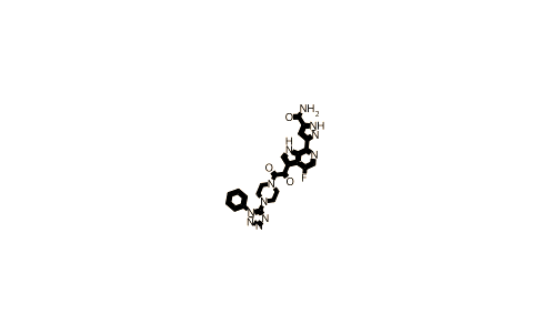 NC(=O)c1cc(-c2ncc(F)c3c(C(=O)C(=O)N4CCN(c5nnnn5-c5ccccc5)CC4)c[nH]c23)n[nH]1